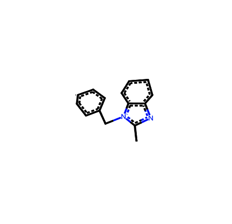 Cc1nc2ccccc2n1Cc1cc[c]cc1